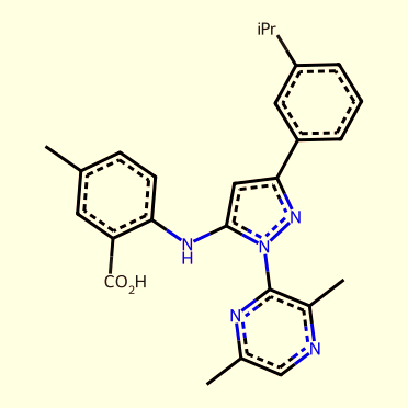 Cc1ccc(Nc2cc(-c3cccc(C(C)C)c3)nn2-c2nc(C)cnc2C)c(C(=O)O)c1